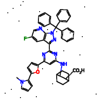 Cn1cccc1-c1ccc(-c2cc(NC3C4CCC(CC4)C3C(=O)O)nc(-c3nn(C(c4ccccc4)(c4ccccc4)c4ccccc4)c4ncc(F)cc34)n2)o1